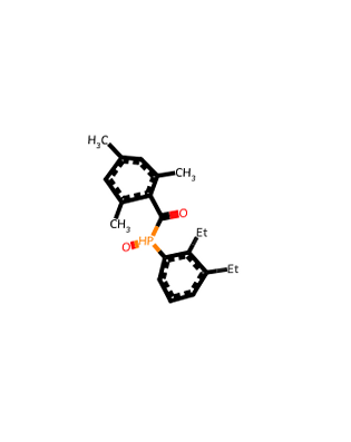 CCc1cccc([PH](=O)C(=O)c2c(C)cc(C)cc2C)c1CC